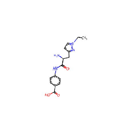 CCn1ccc(C[C@H](N)C(=O)Nc2ccc(C(=O)O)cc2)n1